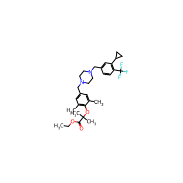 CCOC(=O)C(C)(C)Oc1c(C)cc(CN2CCN(Cc3ccc(C(F)(F)F)c(C4CC4)c3)CC2)cc1C